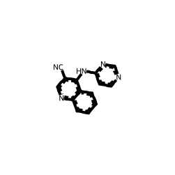 N#Cc1cnc2ccccc2c1Nc1ccncn1